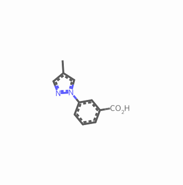 Cc1cnn(-c2cccc(C(=O)O)c2)c1